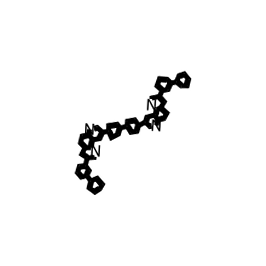 c1ccc(-c2cccc(-c3cnc4c(ccc5ncc(-c6ccc(-c7ccc(-c8cnc9ccc%10cc(-c%11cccc(-c%12ccccc%12)c%11)cnc%10c9c8)cc7)cc6)cc54)c3)c2)cc1